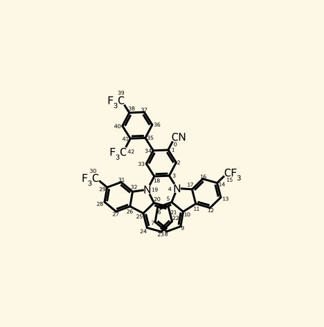 N#Cc1cc(-n2c3ccccc3c3ccc(C(F)(F)F)cc32)c(-n2c3ccccc3c3ccc(C(F)(F)F)cc32)cc1-c1ccc(C(F)(F)F)cc1C(F)(F)F